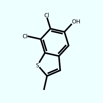 Cc1cc2cc(O)c(Cl)c(Cl)c2s1